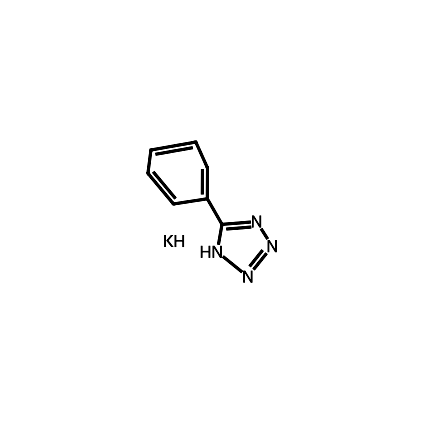 [KH].c1ccc(-c2nnn[nH]2)cc1